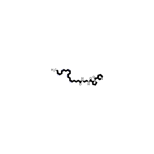 CC/C=C\C/C=C\C/C=C\C/C=C\C/C=C\CCCC(=O)NCCNC(=O)C1CCCN1C(=O)c1cccnc1